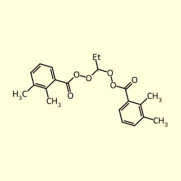 [CH2]C[C](OOC(=O)c1cccc(C)c1C)OOC(=O)c1cccc(C)c1C